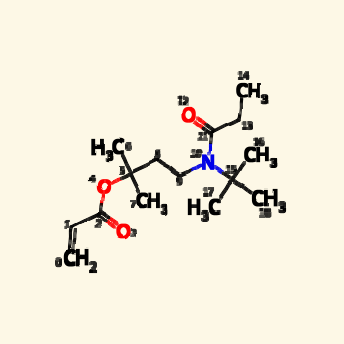 C=CC(=O)OC(C)(C)CCN(C(=O)CC)C(C)(C)C